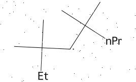 CCCC(C)(C)[CH]C(C)(C)CC